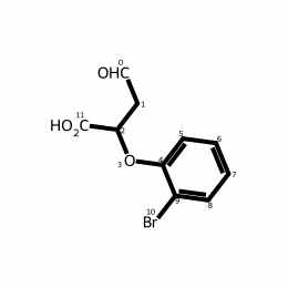 O=CCC(Oc1ccccc1Br)C(=O)O